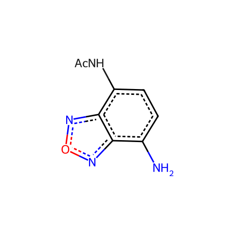 CC(=O)Nc1ccc(N)c2nonc12